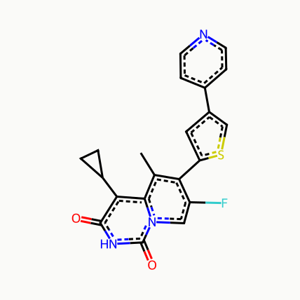 Cc1c(-c2cc(-c3ccncc3)cs2)c(F)cn2c(=O)[nH]c(=O)c(C3CC3)c12